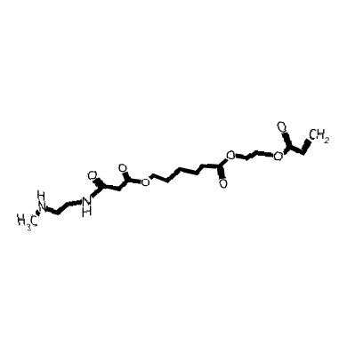 C=CC(=O)OCCOC(=O)CCCCCOC(=O)CC(=O)NCCNC